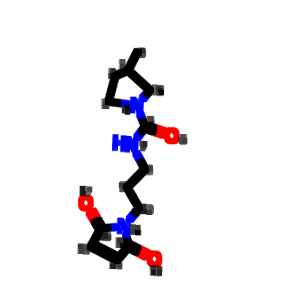 CC1CCN(C(=O)NCCCN2C(=O)C=CC2=O)C1